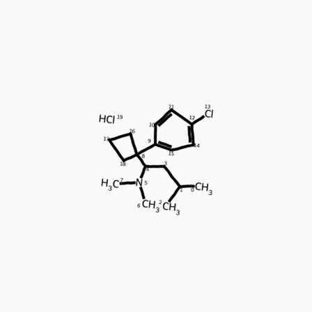 CC(C)CC(N(C)C)C1(c2ccc(Cl)cc2)CCC1.Cl